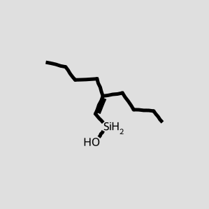 CCCCC(=C[SiH2]O)CCCC